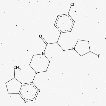 CC1CCc2ncnc(N3CCN(C(=O)C(CN4CCC(F)C4)c4ccc(Cl)cc4)CC3)c21